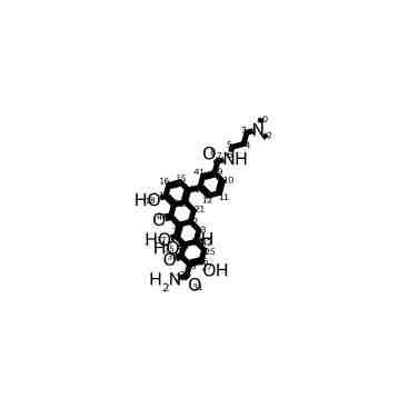 CN(C)CCCNC(=O)c1cccc(-c2ccc(O)c3c2CC2C[C@H]4CC(O)=C(C(N)=O)C(=O)[C@@]4(O)C(O)=C2C3=O)c1